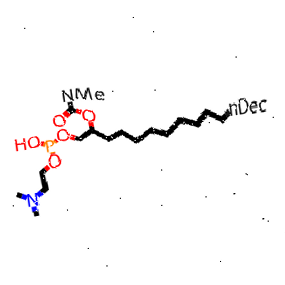 CCCCCCCCCCCCCCCCCCCC(COP(O)OCCN(C)C)OC(=O)NC